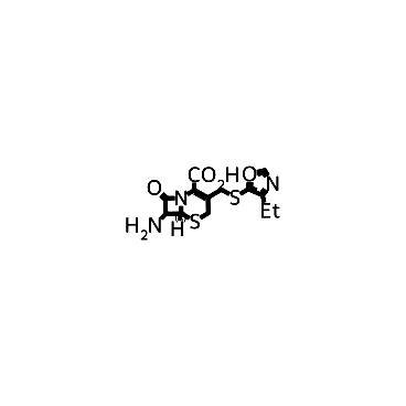 CCc1ncoc1SCC1=C(C(=O)O)N2C(=O)C(N)[C@H]2SC1